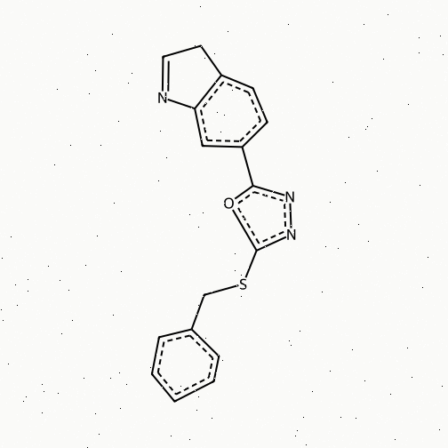 C1=Nc2cc(-c3nnc(SCc4ccccc4)o3)ccc2C1